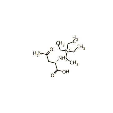 CC[N+](CC)(CC)CC.NC(=O)C[C@H](N)C(=O)O